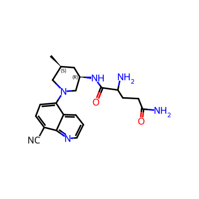 C[C@H]1C[C@@H](NC(=O)C(N)CCC(N)=O)CN(c2ccc(C#N)c3ncccc23)C1